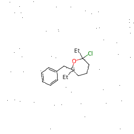 CCC1(Cl)CCC[Si](CC)(Cc2ccccc2)O1